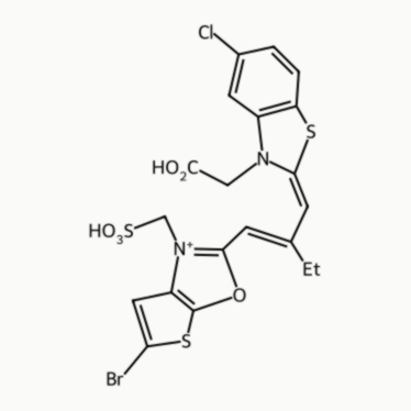 CCC(=Cc1oc2sc(Br)cc2[n+]1CS(=O)(=O)O)C=C1Sc2ccc(Cl)cc2N1CC(=O)O